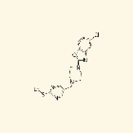 CCSc1ncc(CN2CCN(c3nc4cc(Cl)ccc4o3)CC2)cn1